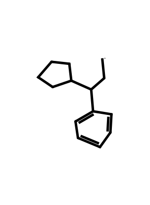 [CH2]CC(c1ccccc1)C1CCCC1